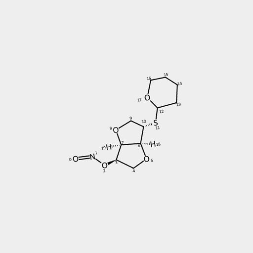 O=NO[C@@H]1CO[C@H]2[C@@H]1OC[C@@H]2SC1CCCCO1